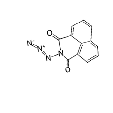 [N-]=[N+]=NN1C(=O)c2cccc3cccc(c23)C1=O